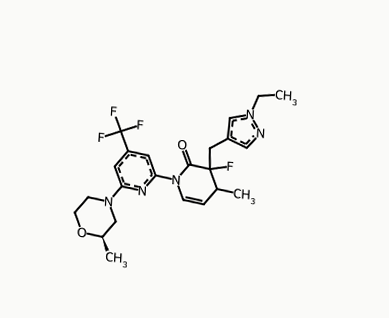 CCn1cc(CC2(F)C(=O)N(c3cc(C(F)(F)F)cc(N4CCO[C@H](C)C4)n3)C=CC2C)cn1